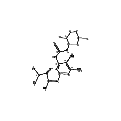 CCN(CC)C(=O)C(C#N)=Cc1cc(OC(=O)OC2CC(C)CCC2C)c(O)c([N+](=O)[O-])c1